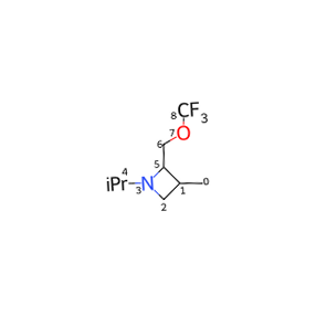 CC1CN(C(C)C)C1COC(F)(F)F